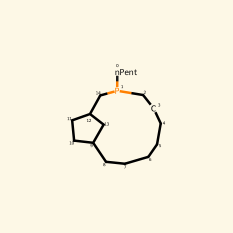 CCCCCP1CCCCCCCC2CCC(C2)C1